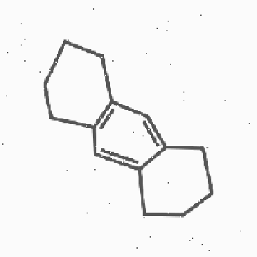 [CH]1CCCc2cc3c(cc21)CCCC3